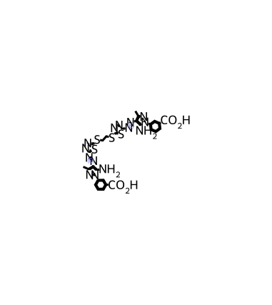 Cc1nn(-c2cccc(C(=O)O)c2)c(N)c1/N=N/c1nnc(SCCSc2nnc(/N=N/c3c(C)nn(-c4cccc(C(=O)O)c4)c3N)s2)s1